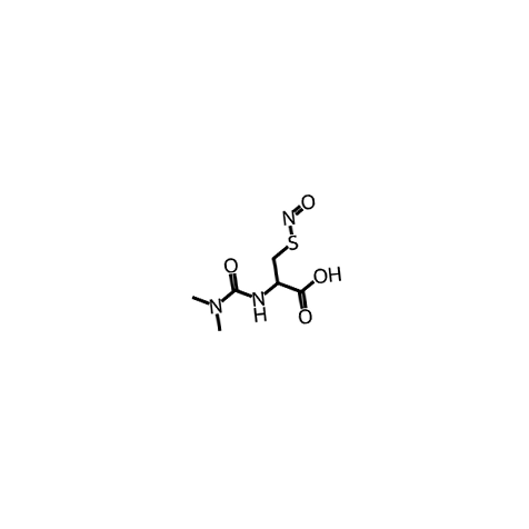 CN(C)C(=O)NC(CSN=O)C(=O)O